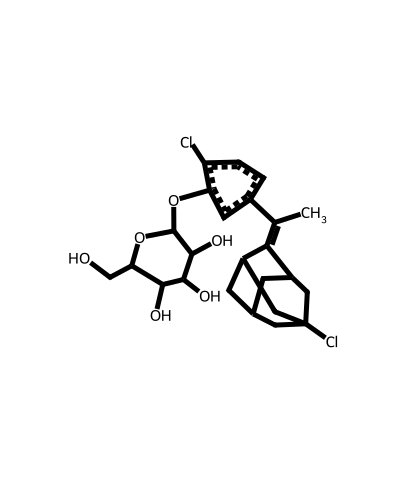 CC(=C1C2CC3CC1CC(Cl)(C3)C2)c1ccc(Cl)c(OC2OC(CO)C(O)C(O)C2O)c1